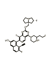 C#Cc1c(F)ccc2cc(O)cc(-c3ncc4c(N5CCNC(CCF)C5)nc(OC[C@@]56CCCN5C[C@H](F)C6)nc4c3F)c12